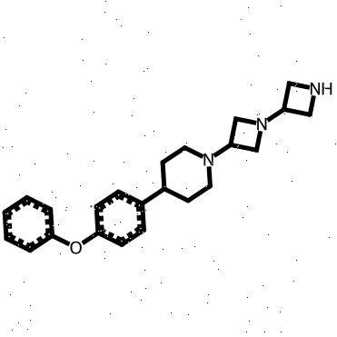 [c]1cc(C2CCN(C3CN(C4CNC4)C3)CC2)ccc1Oc1ccccc1